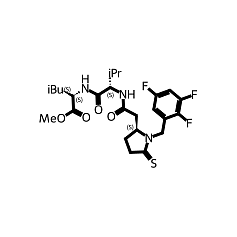 CC[C@H](C)[C@H](NC(=O)[C@@H](NC(=O)C[C@@H]1CCC(=S)N1Cc1cc(F)cc(F)c1F)C(C)C)C(=O)OC